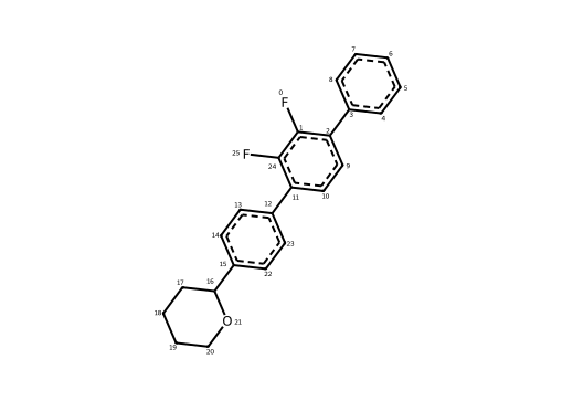 Fc1c(-c2ccccc2)ccc(-c2ccc(C3CCCCO3)cc2)c1F